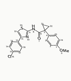 COc1ccc(C2(C(=O)Nc3nc(-c4ccc(Cl)cc4)cs3)CC2)cc1